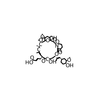 CO[C@H]1C[C@@H](C)[C@@]2(O)O[C@H]1[C@H](OC)C[C@H](C)C/C(C)=C\[C@H](C/C=C/C(=O)O)C(=O)C[C@H](O)[C@@H](C)[C@@H](/C(C)=C/[C@@H]1CC[C@@H](O)[C@H](OC)C1)OC(=O)[C@@H]1CCCCN1C(=O)C2=O